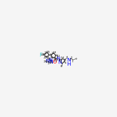 CCCNCc1cc(C)nc(N2Cc3ccc(-c4ccc(F)cc4-c4nncn4C)cc3C2=O)c1